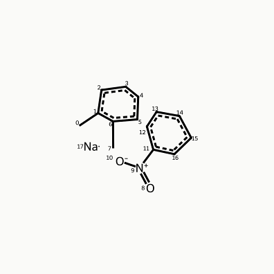 Cc1ccccc1C.O=[N+]([O-])c1ccccc1.[Na]